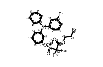 Fc1cccc([S+](c2ccccc2)c2ccccc2)c1.O=C(OCCBr)C(F)(F)S(=O)(=O)[O-]